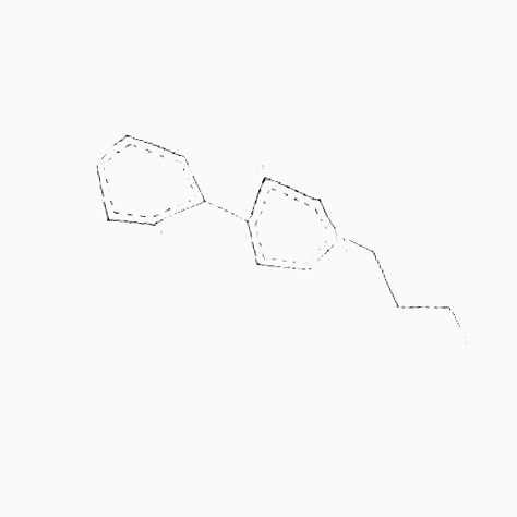 FC(F)(F)CCC[n+]1ccc(-c2ccccc2)cc1